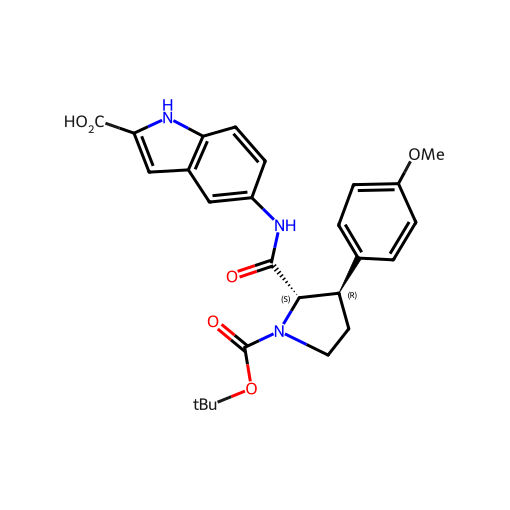 COc1ccc([C@H]2CCN(C(=O)OC(C)(C)C)[C@@H]2C(=O)Nc2ccc3[nH]c(C(=O)O)cc3c2)cc1